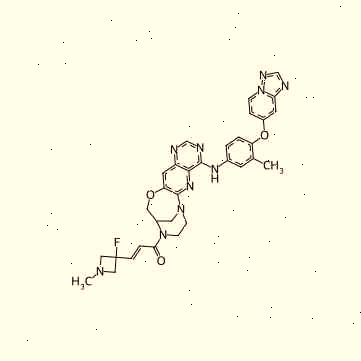 Cc1cc(Nc2ncnc3cc4c(nc23)N2CCN(C(=O)/C=C/C3(F)CN(C)C3)C(CO4)C2)ccc1Oc1ccn2ncnc2c1